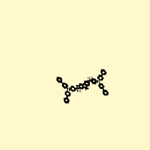 CCCC1(c2ccc(N(c3ccc(-c4ccccc4)cc3)c3ccc(-c4ccccc4)cc3)cc2)c2cc3c(cc21)C(C)(C)c1cc2c(cc1-3)CC2(CC)c1ccc(N(c2ccc(-c3ccccc3)cc2)c2ccc(-c3ccccc3)cc2)cc1